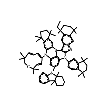 CCC1(C)CCC(C)(C)c2cc3sc4c(c3cc21)B1c2cc3c(cc2N(C2=C/C=C/C(C)(C)CCC(C)(C)\C=C\2)c2cc(N5c6ccccc6C6(C)CCCCC56C)cc(c21)N4c1ccc2c(c1)C(C)(C)CCC2(C)C)C(C)(C)CCC3(C)C